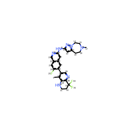 Cc1c(-c2cc3cc(Nc4cc5n(n4)CCN(C)CC5)ncc3cc2F)cnc2c1NCCC2(F)F